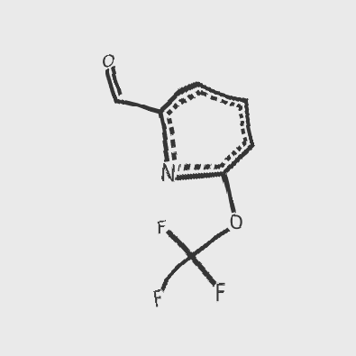 O=Cc1cccc(OC(F)(F)F)n1